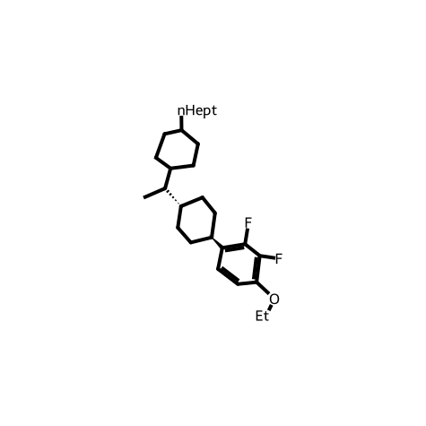 CCCCCCCC1CCC(C(C)[C@H]2CC[C@H](c3ccc(OCC)c(F)c3F)CC2)CC1